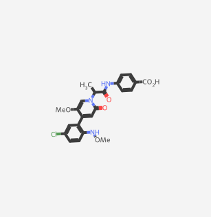 CONc1ccc(Cl)cc1-c1cc(=O)n(C(C)C(=O)Nc2ccc(C(=O)O)cc2)cc1OC